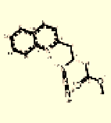 COC(=O)C[C@@H](Cc1ccc2ccccc2n1)N=[N+]=[N-]